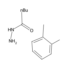 CCCCC(=O)NN.Cc1ccccc1C